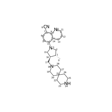 C[C@H]1CN(c2ccc(C#N)c3ncccc23)C[C@@H]1CN1CCC2(CCNCC2)CC1